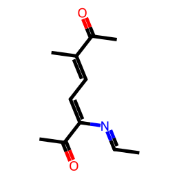 C/C=N/C(=C\C=C(/C)C(C)=O)C(C)=O